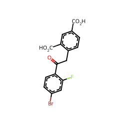 O=C(O)c1ccc(CC(=O)c2ccc(Br)cc2F)c(C(=O)O)c1